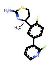 C[C@@]1(c2cc(-c3cccnc3F)ccc2F)CCSC(N)=N1